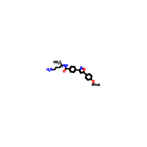 CCCCCOc1ccc(-c2cc(-c3ccc(C(=O)N[C@@H](CCCN)C(=O)O)cc3)no2)cc1